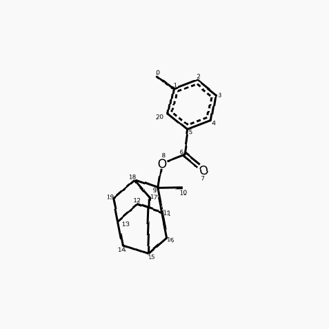 Cc1cccc(C(=O)OC2(C)C3CC4CC(C3)CC2C4)c1